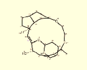 CC1CCC[C@H](O)/C(OC2CCCCO2)=C/[C@H]2CCC3CC(CC32)OCCO1